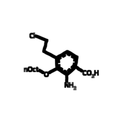 CCCCCCCCOc1c(CCCl)ccc(C(=O)O)c1N